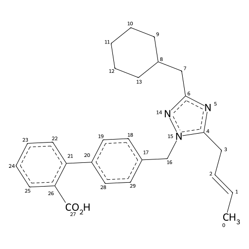 CC=CCc1nc(CC2CCCCC2)nn1Cc1ccc(-c2ccccc2C(=O)O)cc1